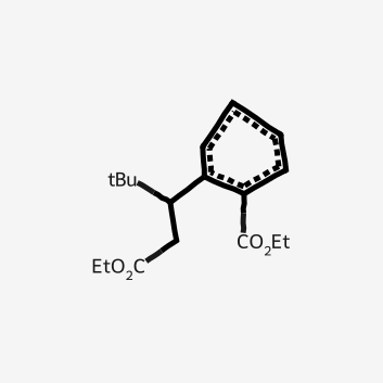 CCOC(=O)CC(c1ccccc1C(=O)OCC)C(C)(C)C